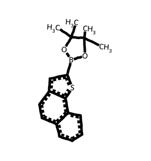 CC1(C)OB(c2cc3ccc4ccccc4c3s2)OC1(C)C